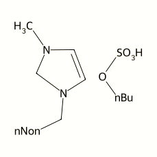 CCCCCCCCCCN1C=CN(C)C1.CCCCOS(=O)(=O)O